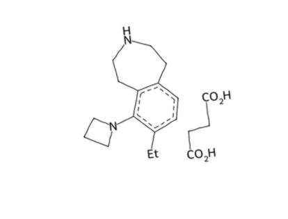 CCc1ccc2c(c1N1CCC1)CCNCC2.O=C(O)CCC(=O)O